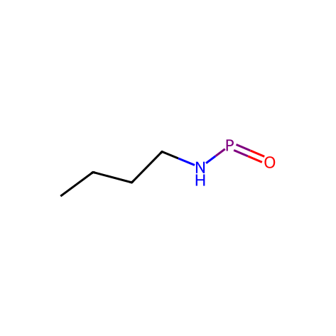 CCCCNP=O